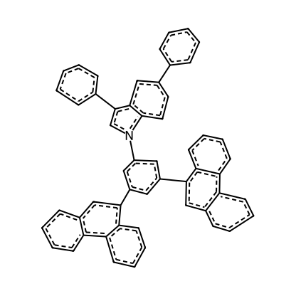 c1ccc(-c2ccc3c(c2)c(-c2ccccc2)cn3-c2cc(-c3cc4ccccc4c4ccccc34)cc(-c3cc4ccccc4c4ccccc34)c2)cc1